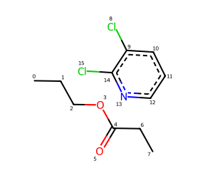 CCCOC(=O)CC.Clc1cccnc1Cl